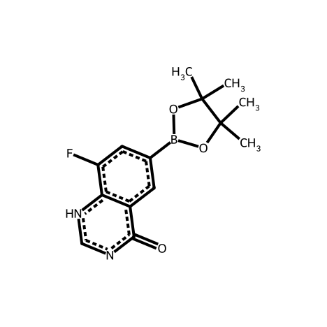 CC1(C)OB(c2cc(F)c3[nH]cnc(=O)c3c2)OC1(C)C